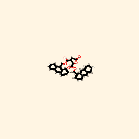 O=C1CC(C(=O)OCc2c3ccccc3cc3ccccc23)C(C(=O)OCc2cccc3cc4ccccc4cc23)O1